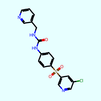 O=C(NCc1cccnc1)Nc1ccc(S(=O)(=O)c2cncc(Cl)c2)cc1